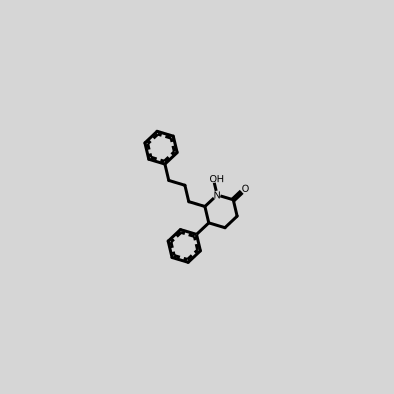 O=C1CCC(c2ccccc2)C(CCCc2ccccc2)N1O